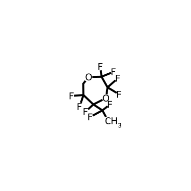 CC(F)(F)C1(F)OC(F)(F)C(F)(F)OCC1(F)F